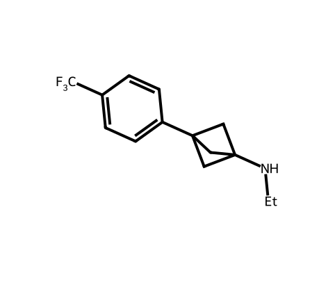 CCNC12CC(c3ccc(C(F)(F)F)cc3)(C1)C2